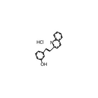 Cl.Oc1cccc(C=Cc2ccc3ccccc3n2)c1